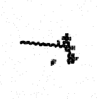 CCCCCCCCCCCCCCCC(=S)Cc1cc(S(=O)(=O)[O-])cc2[nH]c(CCC(CC)S(=O)(=O)[O-])nc12.[K+].[K+]